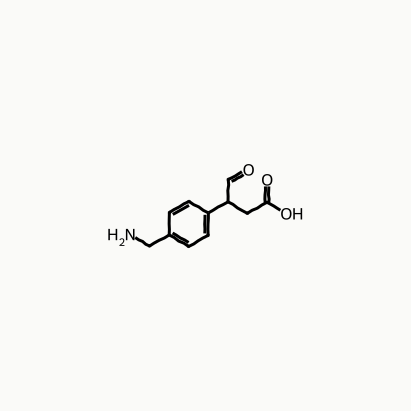 NCc1ccc(C(C=O)CC(=O)O)cc1